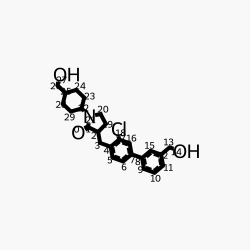 O=C1C(Cc2ccc(-c3cccc(CO)c3)cc2Cl)CCN1C1CCC(CO)CC1